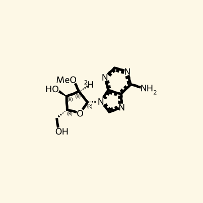 [2H][C@@]1(OC)[C@H](O)[C@@H](CO)O[C@H]1n1cnc2c(N)ncnc21